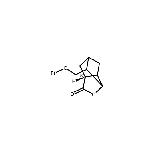 CCOCC1C2CC3C1OC(=O)[C@@H]3C2